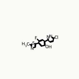 Cc1ncc(-c2cc(O)c(-c3ccc(Cl)nn3)cc2F)s1